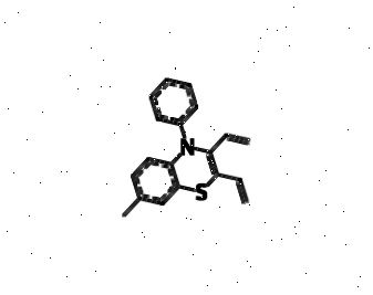 C=CC1=C(C=C)N(c2ccccc2)c2ccc(C)cc2S1